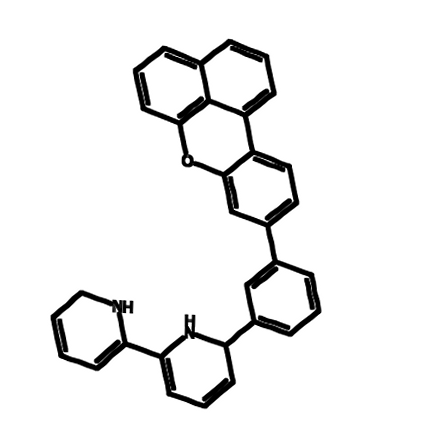 C1=CCNC(C2=CC=CC(c3cccc(-c4ccc5c(c4)Oc4cccc6cccc-5c46)c3)N2)=C1